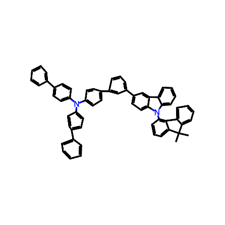 CC1(C)c2ccccc2-c2c(-n3c4ccccc4c4cc(-c5cccc(-c6ccc(N(c7ccc(-c8ccccc8)cc7)c7ccc(-c8ccccc8)cc7)cc6)c5)ccc43)cccc21